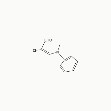 CN(/C=C(/Cl)C=O)c1ccccc1